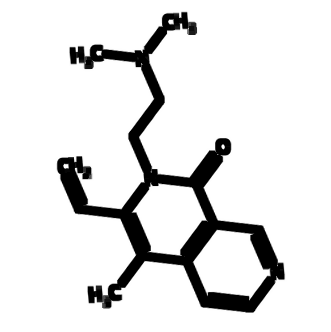 C=Cc1c(C)c2ccncc2c(=O)n1CCN(C)C